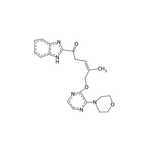 CC(=CCC(=O)c1nc2ccccc2[nH]1)COc1nccnc1N1CCOCC1